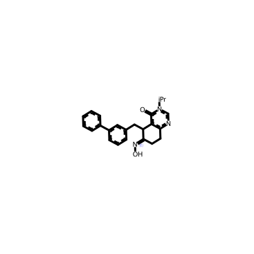 CC(C)n1cnc2c(c1=O)C(Cc1cccc(-c3ccccc3)c1)/C(=N/O)CC2